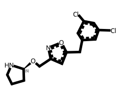 Clc1cc(Cl)cc(Cc2cc(CO[C@H]3CCCN3)no2)c1